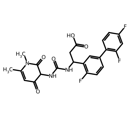 CC1=CC(=O)C(NC(=O)NC(CC(=O)O)c2cc(-c3ccc(F)cc3F)ccc2F)C(=O)N1C